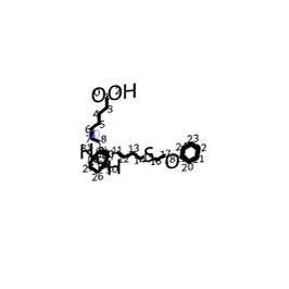 O=C(O)CCC/C=C\C[C@@H]1[C@H](CCCCSCCOc2ccccc2)[C@@H]2CC[C@H]1O2